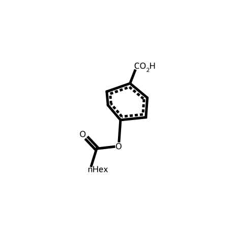 CCCCCCC(=O)Oc1ccc(C(=O)O)cc1